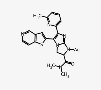 CC(=O)N1c2nc(-c3cccc(C)n3)c(-c3cc4cnccc4s3)n2CC1C(=O)N(C)C